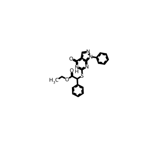 CCOC(=O)C(Sc1nc2c(cnn2-c2ccccc2)c(=O)[nH]1)c1ccccc1